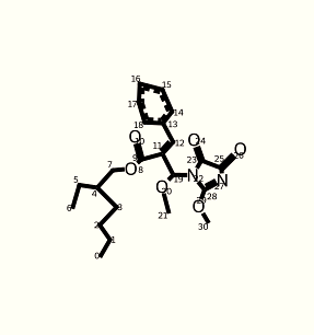 CCCCC(CC)COC(=O)C(=Cc1ccccc1)C(OC)N1C(=O)C(=O)N=C1OC